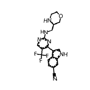 N#Cc1ccc2c(-c3nc(NCC4COCCN4)ncc3C(F)(F)F)c[nH]c2c1